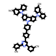 N#Cc1cccc(-c2cc(-c3ccc(-c4ccc(-n5c6ccc(-n7c8ccccc8c8cc(C#N)ccc87)cc6c6cc(-n7c8ccccc8c8cc(C#N)ccc87)ccc65)cc4)cc3)nc(-c3cccc(C#N)c3)n2)c1